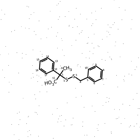 CC(SSCc1ccccc1)(C(=O)O)c1ccccc1